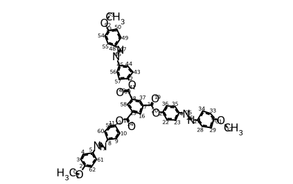 COc1ccc(/N=N/c2ccc(OC(=O)c3cc(C(=O)Oc4ccc(/N=N/c5ccc(OC)cc5)cc4)cc(C(=O)Oc4ccc(/N=N/c5ccc(OC)cc5)cc4)c3)cc2)cc1